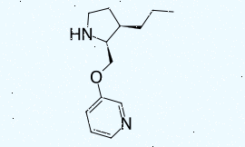 CCC[C@@H]1CCN[C@@H]1COc1cccnc1